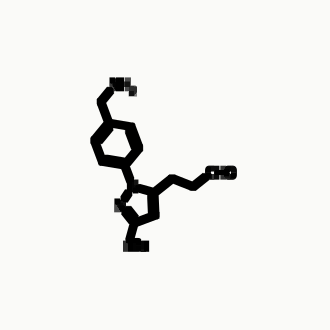 CCCCc1cc(CCC=O)n(-c2ccc(CN)cc2)n1